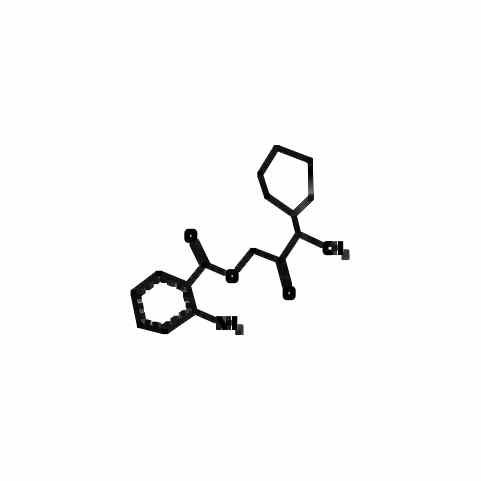 CC(C(=O)COC(=O)c1ccccc1N)C1CCCCC1